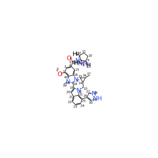 COc1cc(C(=O)N2C[C@H]3CC[C@@H]2[C@@H]3N)cc2nc(-c3cc4cccc(-c5cn[nH]c5)c4n3CC3CC3C)n(C)c12